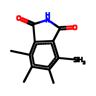 Cc1c(C)c([SiH3])c2c(c1C)C(=O)NC2=O